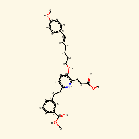 COC(=O)CCc1nc(CCc2cccc(C(=O)OC)c2)ccc1OCCCCC=Cc1ccc(OC)cc1